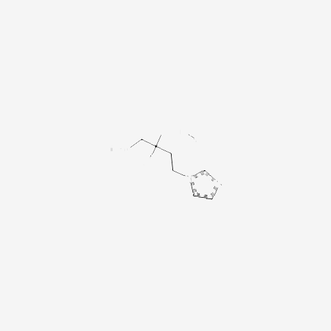 CCCC(C)CC(C)(CC)CCn1ccnc1.O=CO